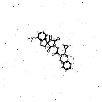 Cc1cccc2c1CCC21NC(=O)N(CC(=O)N(Cc2ccccc2)C(C)C2CC2)C1=O